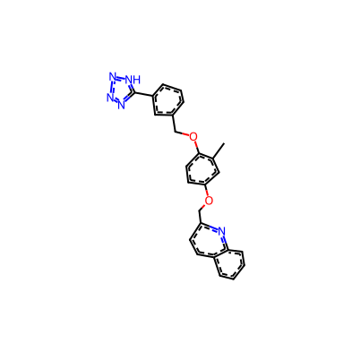 Cc1cc(OCc2ccc3ccccc3n2)ccc1OCc1cccc(-c2nnn[nH]2)c1